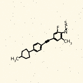 Cc1cc(C#Cc2ccc(C3CCC(C)CC3)cc2)cc(F)c1N=C=S